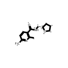 Cc1nc(C(F)(F)F)ccc1C(=O)NC[C@@H]1CCCO1